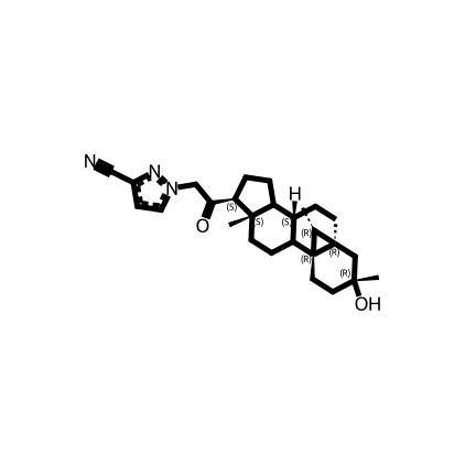 C[C@@H]1[C@]23CC[C@H]4C5CC[C@H](C(=O)Cn6ccc(C#N)n6)[C@@]5(C)CCC4[C@]12CC[C@@](C)(O)C3